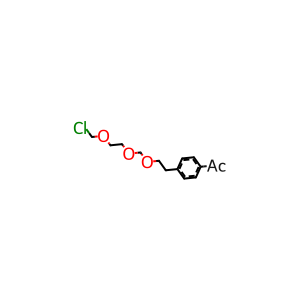 CC(=O)c1ccc(CCOCOCCOCCl)cc1